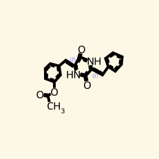 CC(=O)Oc1cccc(/C=c2\[nH]c(=O)/c(=C/c3ccccc3)[nH]c2=O)c1